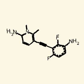 CC1=C(C#Cc2c(F)ccc(N)c2F)C=CC(N)N1C